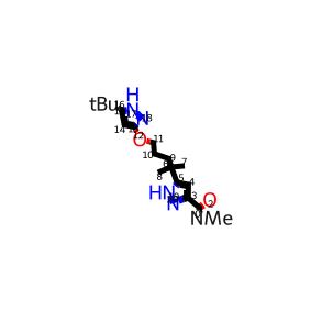 CNC(=O)c1cc(C(C)(C)CCCOc2cc(C(C)(C)C)[nH]n2)[nH]n1